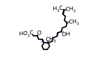 CC(C)=CCC[C@H](C)CC[C@H](O)/C=C/C=C/[C@]1(C)CCCC/C1=C\CC(=O)CC(=O)O